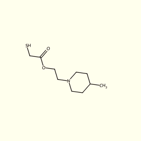 CC1CCN(CCOC(=O)CS)CC1